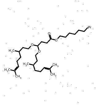 CC(C)=CCCC(C)CCOC(CCC(=O)OCCCCCCC(C)C)OCCC(C)CCC=C(C)C